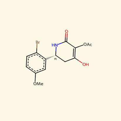 COc1ccc(Br)c([C@H]2CC(O)=C(OC(C)=O)C(=O)N2)c1